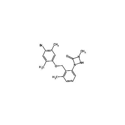 Cc1cc(OCc2c(C)cccc2-n2[nH]n(C)c2=O)c(C)cc1Br